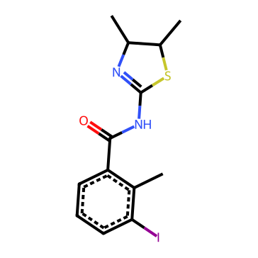 Cc1c(I)cccc1C(=O)NC1=NC(C)C(C)S1